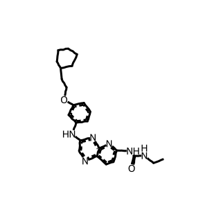 CCNC(=O)Nc1ccc2ncc(Nc3cccc(OCCC4CCCCC4)c3)nc2n1